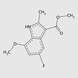 COC(=O)c1c(C)[nH]c2c(OC)cc(F)cc12